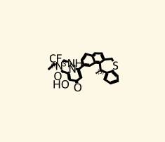 C[C@@H]1c2ccccc2SCc2ccc3ccc(-c4cc(=O)c(O)c5n4NCN([C@H](C)C(F)(F)F)C5=O)cc3c21